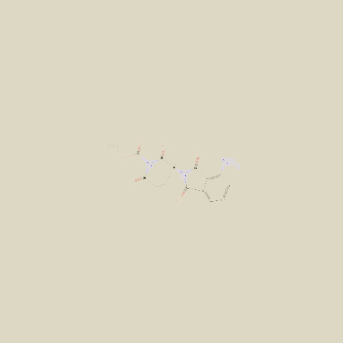 CC(C)(C)OC(=O)N1C(=O)CCC(F)(N2C(=O)c3cccc(N)c3C2=O)C1=O